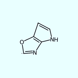 [c]1nc2[nH]ccc2o1